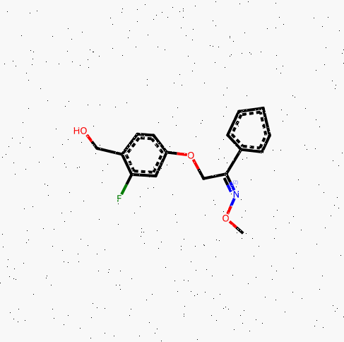 CO/N=C(\COc1ccc(CO)c(F)c1)c1ccccc1